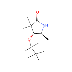 C[C@@H]1NC(=O)C(C)(C)[C@@H]1O[Si](C)(C)C(C)(C)C